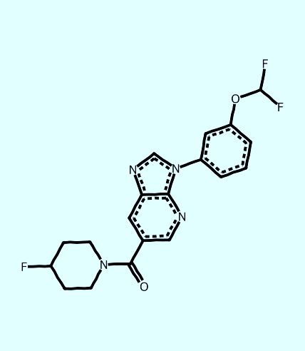 O=C(c1cnc2c(c1)ncn2-c1cccc(OC(F)F)c1)N1CCC(F)CC1